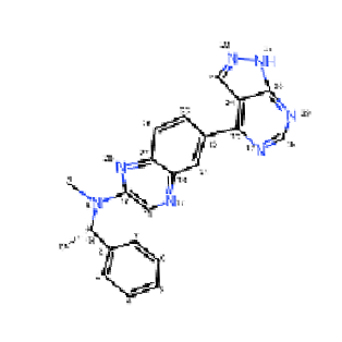 C[C@@H](c1ccccc1)N(C)c1cnc2cc(-c3ncnc4[nH]ncc34)ccc2n1